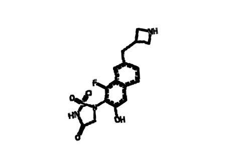 O=C1CN(c2c(O)cc3ccc(CC4CNC4)cc3c2F)S(=O)(=O)N1